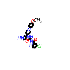 COc1ccc(N2CCC([C@]3(NC(=O)CNC(=O)c4cccc(Cl)c4)CCNC3)CC2)cc1